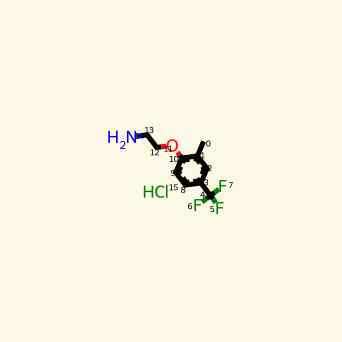 Cc1cc(C(F)(F)F)ccc1OCCN.Cl